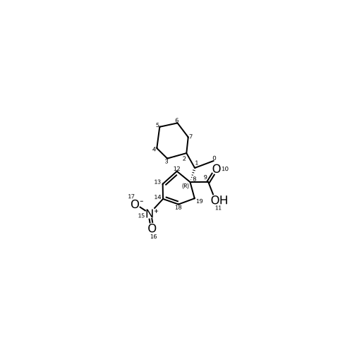 CC(C1CCCCC1)[C@@]1(C(=O)O)C=CC([N+](=O)[O-])=CC1